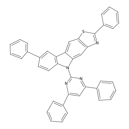 c1ccc(-c2ccc3c(c2)c2cc4sc(-c5ccccc5)nc4cc2n3-c2nc(-c3ccccc3)cc(-c3ccccc3)n2)cc1